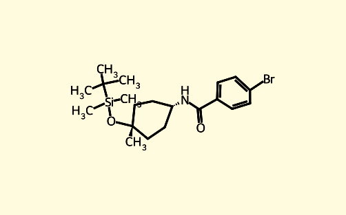 CC(C)(C)[Si](C)(C)O[C@]1(C)CC[C@H](NC(=O)c2ccc(Br)cc2)CC1